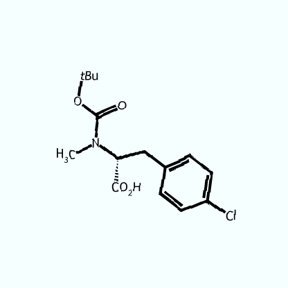 CN(C(=O)OC(C)(C)C)[C@H](Cc1ccc(Cl)cc1)C(=O)O